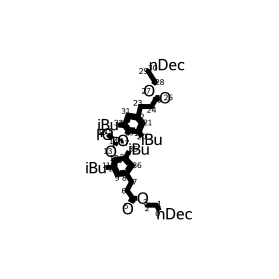 CCCCCCCCCCCCOC(=O)CCc1cc(C(C)CC)c(OP(OF)Oc2c(C(C)CC)cc(CCC(=O)OCCCCCCCCCCCC)cc2C(C)CC)c(C(C)CC)c1